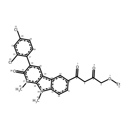 CCOCC(=O)CC(=O)c1ccc2c(c1)c1cc(-c3ccc(Cl)cc3Cl)c(=O)n(C)c1n2C